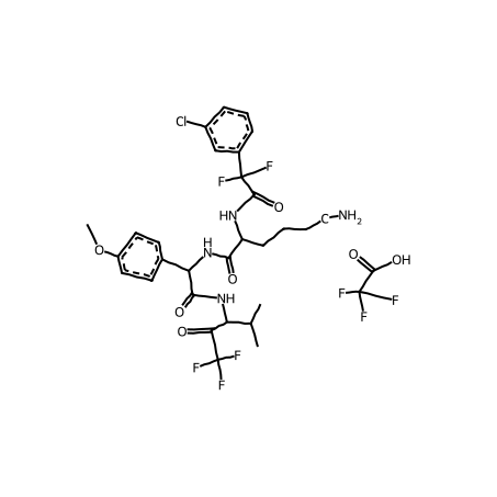 COc1ccc(C(NC(=O)C(CCCCN)NC(=O)C(F)(F)c2cccc(Cl)c2)C(=O)NC(C(=O)C(F)(F)F)C(C)C)cc1.O=C(O)C(F)(F)F